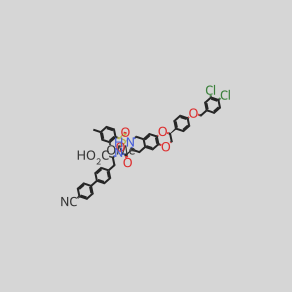 COc1cc(C)ccc1S(=O)(=O)N1Cc2cc3c(cc2C[C@H]1C(=O)N[C@@H](Cc1ccc(-c2ccc(C#N)cc2)cc1)C(=O)O)OC[C@H](c1ccc(OCc2ccc(Cl)c(Cl)c2)cc1)O3